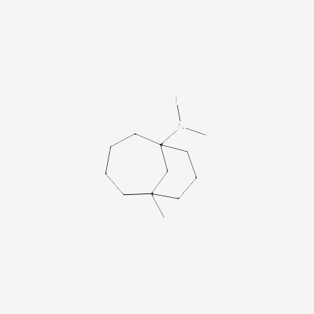 CC12CCCCC(N(I)I)(CCC1)C2